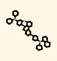 c1ccc(N(c2ccccc2)c2ccc3c(c2)Oc2cccc4c2c-3cc2ccc(-c3ccc(N(c5ccccc5)c5cccc6ccccc56)cc3)cc24)cc1